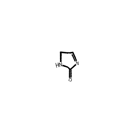 O=C1N=CCN1